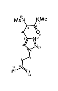 CNC(=O)C(Cc1cn(CCC(=O)C(C)C)nn1)NC